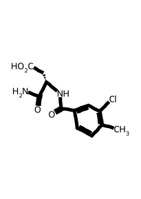 Cc1ccc(C(=O)N[C@@H](CC(=O)O)C(N)=O)cc1Cl